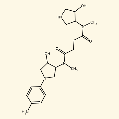 CN(C(=O)CCC(=O)N(C)C1CN(c2ccc(N)cc2)CC1O)C1CNCC1O